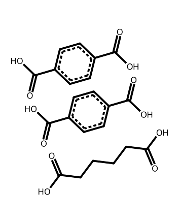 O=C(O)CCCCC(=O)O.O=C(O)c1ccc(C(=O)O)cc1.O=C(O)c1ccc(C(=O)O)cc1